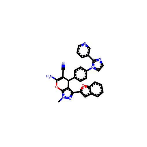 Cn1nc(-c2cc3ccccc3o2)c2c1OC(N)=C(C#N)C2c1ccc(-n2ccnc2-c2cccnc2)cc1